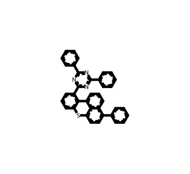 c1ccc(-c2nc(-c3ccccc3)nc(-c3cccc4c3-c3cccc5c(-c6ccccc6)ccc(c35)S4)n2)cc1